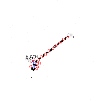 COCCOCCOCCOCCOCCOCCOCCOCCOCCN(CC(C(=O)O)N1C(=O)C=CC1=O)C(=O)OC(C)(C)C